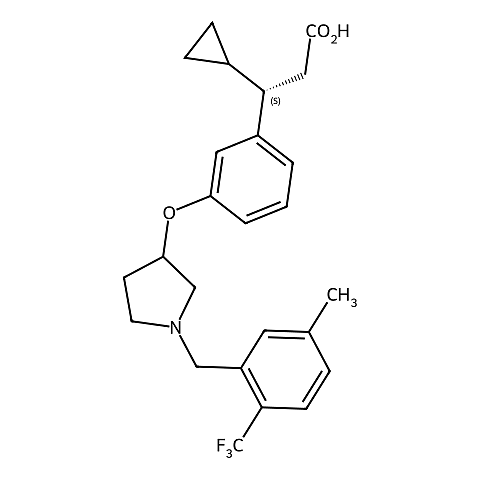 Cc1ccc(C(F)(F)F)c(CN2CCC(Oc3cccc([C@@H](CC(=O)O)C4CC4)c3)C2)c1